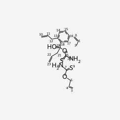 C=CC.C=CCOC(N)=S.C=CCc1ccccc1C(O)(CC=C)OC(N)=S